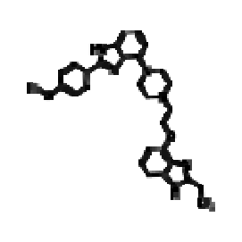 CCOc1ccc(-c2nc3c(N4CCN(CCOc5cccc6[nH]c(CC(F)(F)F)nc56)CC4)cccc3[nH]2)cc1